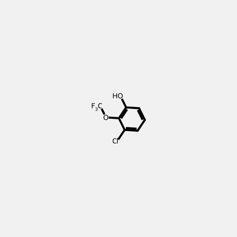 Oc1cccc(Cl)c1OC(F)(F)F